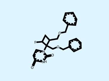 O=c1ccn(C2(COCc3ccccc3)C(F)CC2COCc2ccccc2)c(=O)[nH]1